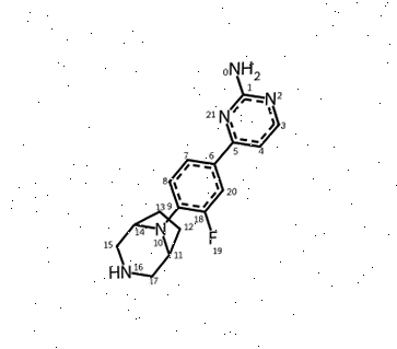 Nc1nccc(-c2ccc(N3C4CCC3CNC4)c(F)c2)n1